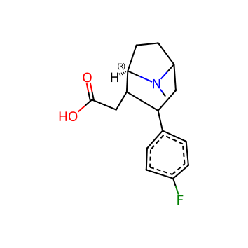 CN1C2CC[C@@H]1C(CC(=O)O)C(c1ccc(F)cc1)C2